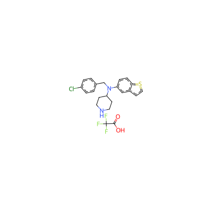 Clc1ccc(CN(c2ccc3sccc3c2)C2CCNCC2)cc1.O=C(O)C(F)(F)F